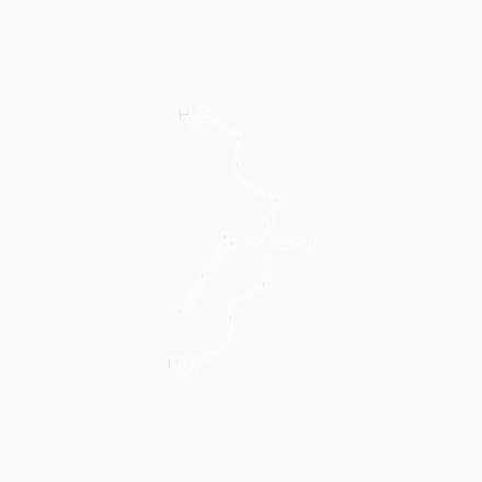 CCCOP(=O)(N=C=O)OCCC